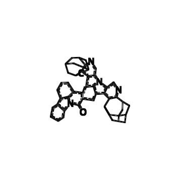 O=c1c2cc3c4c5c(ncc4n4c6cnc7c(c6c(c2c2cccc6c8ccccc8n1c62)c34)C1CC2CC(CC7C2)C1)C1CC2CC3CC5CC23C1